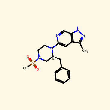 Cc1n[nH]c2cnc(N3CCN(S(C)(=O)=O)C[C@@H]3Cc3ccccc3)cc12